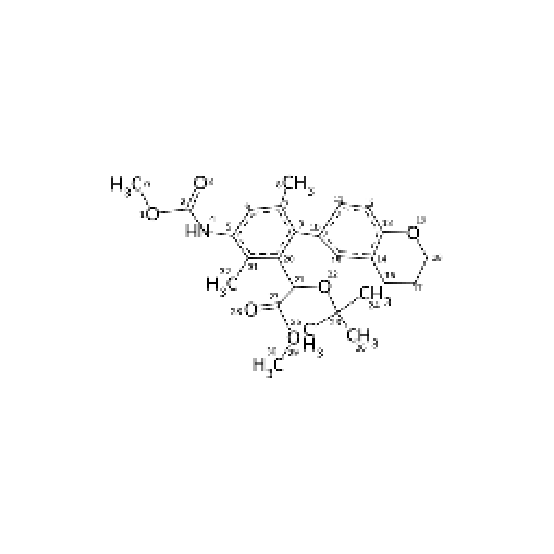 COC(=O)Nc1cc(C)c(-c2ccc3c(c2)CCCO3)c(C(OC(C)(C)C)C(=O)OC)c1C